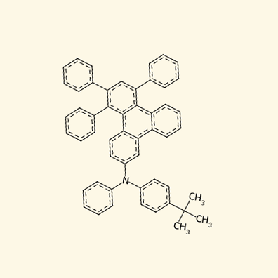 CC(C)(C)c1ccc(N(c2ccccc2)c2ccc3c(c2)c2ccccc2c2c(-c4ccccc4)cc(-c4ccccc4)c(-c4ccccc4)c32)cc1